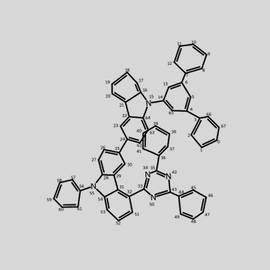 c1ccc(-c2cc(-c3ccccc3)cc(-n3c4ccccc4c4cc(-c5ccc6c(c5)c5c(-c7nc(-c8ccccc8)nc(-c8ccccc8)n7)cccc5n6-c5ccccc5)ccc43)c2)cc1